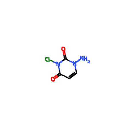 Nn1ccc(=O)n(Cl)c1=O